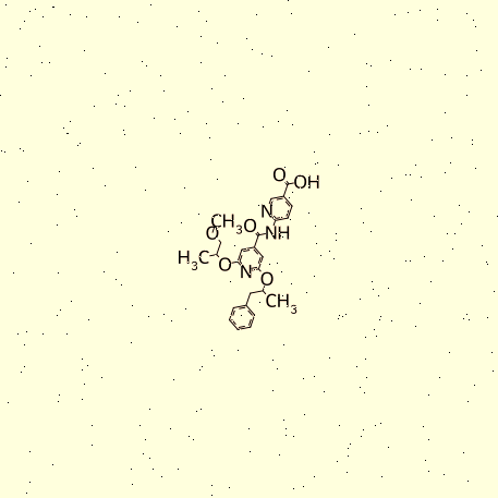 COCC(C)Oc1cc(C(=O)Nc2ccc(C(=O)O)cn2)cc(OC(C)Cc2ccccc2)n1